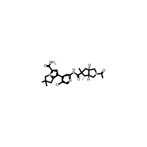 CC(=O)N1C[C@H]2CC(C)(C(=O)Nc3cc(-c4cc(C(N)=O)n5c4CC(C)(C)C5)c(Cl)cn3)[C@@H](C)[C@H]2C1